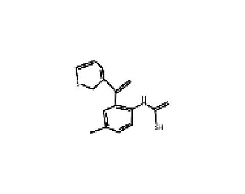 C=C(S)Nc1ccc(C)cc1C(=C)C1=CC=CSC1